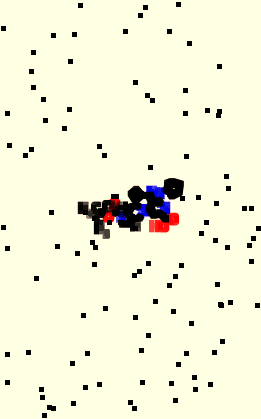 CC(C)(C)OC(=O)N1CC[C@@H]2CN(c3cc(C(=O)O)nc4c3c(C3CCC3)nn4-c3ccccc3)CC[C@@H]21